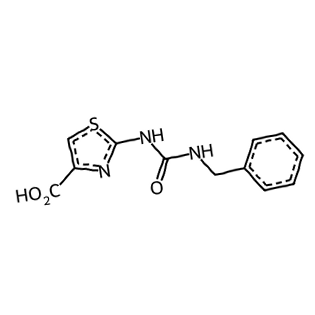 O=C(NCc1ccccc1)Nc1nc(C(=O)O)cs1